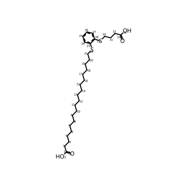 O=C(O)CCCCCCCCCCCCCCCCCCCSc1ccccc1SCCCC(=O)O